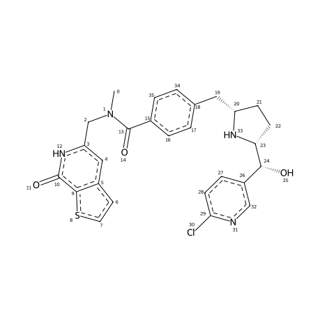 CN(Cc1cc2ccsc2c(=O)[nH]1)C(=O)c1ccc(C[C@@H]2CC[C@H]([C@H](O)c3ccc(Cl)nc3)N2)cc1